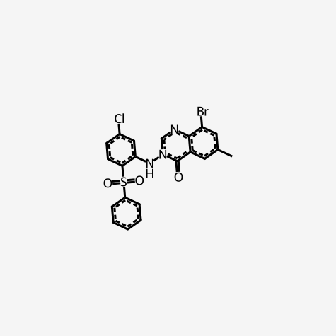 Cc1cc(Br)c2ncn(Nc3cc(Cl)ccc3S(=O)(=O)c3ccccc3)c(=O)c2c1